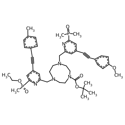 CCOP(C)(=O)c1cc(C#Cc2ccc(C)cc2)cc(CN2CCN(Cc3cc(C#Cc4ccc(OC)cc4)cc(P(C)(C)=O)n3)CCN(C(=O)OC(C)(C)C)CC2)n1